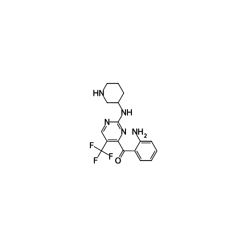 Nc1ccccc1C(=O)c1nc(NC2CCCNC2)ncc1C(F)(F)F